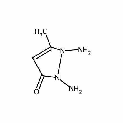 Cc1cc(=O)n(N)n1N